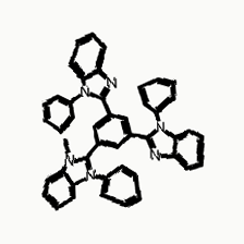 CN1c2ccccc2N(c2ccccc2)C1c1cc(-c2nc3ccccc3n2-c2ccccc2)cc(-c2nc3ccccc3n2-c2ccccc2)c1